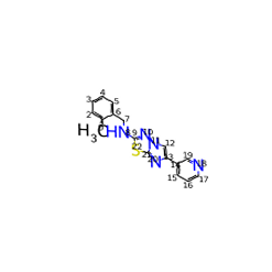 Cc1ccccc1CNc1nn2cc(-c3cccnc3)nc2s1